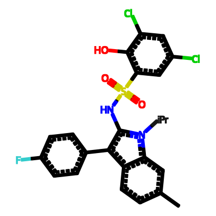 Cc1ccc2c(-c3ccc(F)cc3)c(NS(=O)(=O)c3cc(Cl)cc(Cl)c3O)n(C(C)C)c2c1